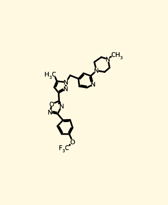 Cc1cc(-c2nc(-c3ccc(OC(F)(F)F)cc3)no2)nn1Cc1ccnc(N2CCN(C)CC2)c1